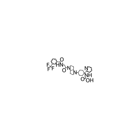 O=C(O)N[C@]1(c2ccccn2)CC[C@H](N2CCC3C2CCN3C(=O)CNC(=O)c2cccc(C(F)(F)F)c2)CC1